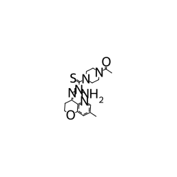 CC(=O)N1CCN(C(=S)N(N)/N=C2/CCOc3cc(C)cnc32)CC1